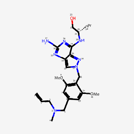 C=CCN(C)Cc1cc(OC)c(Cn2cc3nc(N)nc(N[C@H](CO)CCC)c3n2)c(OC)c1